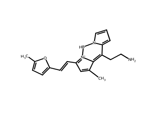 CC1=CC(/C=C/c2ccc(C)o2)=[N+]2Bn3cccc3C(CCN)=C12